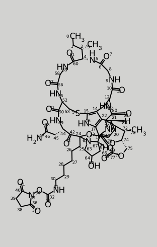 CC[C@H](C)[C@@H]1NC(=O)CNC(=O)C2Cc3c4[nH]c5cc(ccc35)OC(CCCCCCNC(=O)ON3C(=O)CCC3=O)(C(=O)[C@H](CC(N)=O)NC(=O)C(CS4)NC(=O)CNC1=O)N1CC(O)C[C@H]1C(=O)N[C@@H]([C@@H](C)[C@@H]1COC(=O)O1)C(=O)N2